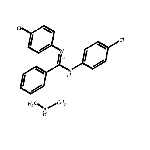 Clc1ccc(/N=C(/Nc2ccc(Cl)cc2)c2ccccc2)cc1.[CH3][AlH][CH3]